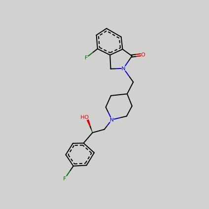 O=C1c2cccc(F)c2CN1CC1CCN(C[C@H](O)c2ccc(F)cc2)CC1